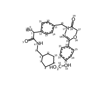 CCC(C)C(C(=O)NCC1CCCCC1)c1ccc(CN2N=C(c3ccccc3)OCC2=O)cc1.O=C(O)O